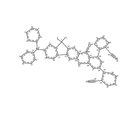 CC1(C)c2cc(N(c3ccccc3)c3ccccc3)ccc2-c2cc3oc4cc(-c5ccccc5C#N)cc(-c5ccccc5C#N)c4c(=O)c3cc21